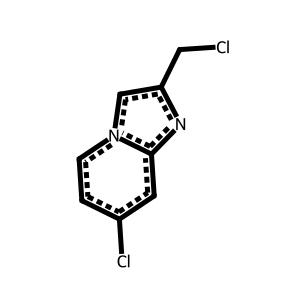 ClCc1cn2ccc(Cl)cc2n1